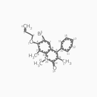 C=CCOc1c(Br)cc2c(-c3ccccc3)c(C)c(=O)n(C)c2c1C